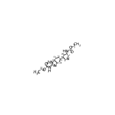 CCOC(=O)Nc1cncc(-c2ccc3[nH]c(NC(=O)OCC)nc3c2)c1